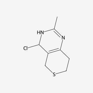 CC1=NC2=C(CSCC2)C(Cl)N1